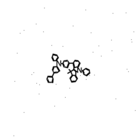 CC1(C)c2ccccc2-c2c1c1c(-c3ccc(N(c4ccccc4)c4ccc(-c5ccccc5)cc4)cc3)cccc1n2-c1ccccc1